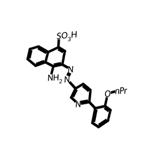 CCCOc1ccccc1-c1ccc(N=Nc2cc(S(=O)(=O)O)c3ccccc3c2N)cn1